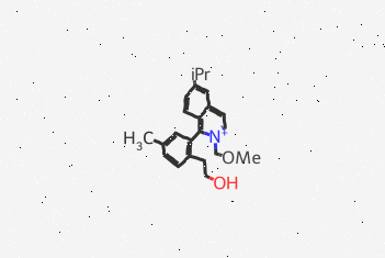 COC[n+]1ccc2cc(C(C)C)ccc2c1-c1cc(C)ccc1CCO